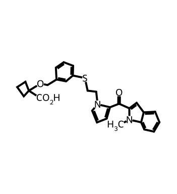 Cn1c(C(=O)c2cccn2CCSc2cccc(COC3(C(=O)O)CCC3)c2)cc2ccccc21